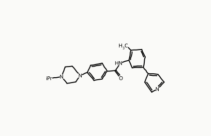 Cc1ccc(-c2ccncc2)cc1NC(=O)c1ccc(N2CCN(C(C)C)CC2)cc1